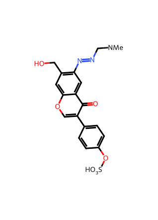 CNCN=Nc1cc2c(=O)c(-c3ccc(OS(=O)(=O)O)cc3)coc2cc1CO